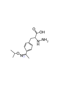 C/C(=N/OC(C)C)c1ccc(CC(NN)C(=O)O)cc1